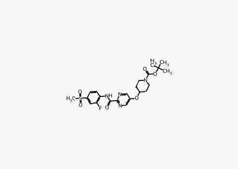 CC(C)(C)OC(=O)N1CCC(Oc2cnc(C(=O)Nc3ccc(S(C)(=O)=O)cc3F)nc2)CC1